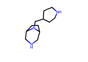 C1CC(CN2C3CCC2CNC3)CCN1